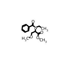 CCN(C(=O)c1ccccc1)C(COC)C(=O)OC